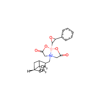 CC1(C)C2C[C@H]1CCC2C[N+]12CC(=O)O[B-]1(C1OC1c1ccccc1)OC(=O)C2